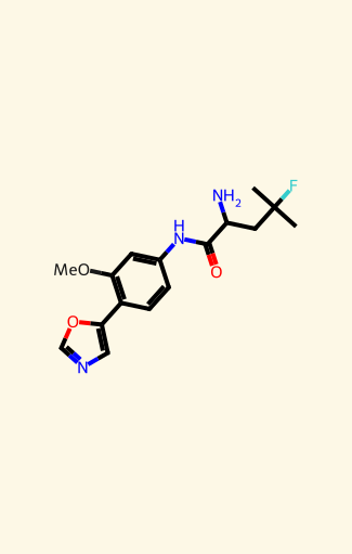 COc1cc(NC(=O)C(N)CC(C)(C)F)ccc1-c1cnco1